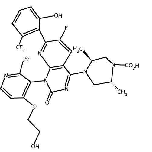 CC(C)c1nccc(OCCO)c1-n1c(=O)nc(N2C[C@@H](C)N(C(=O)O)C[C@@H]2C)c2cc(F)c(-c3c(O)cccc3C(F)(F)F)nc21